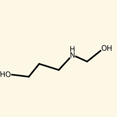 OCCCNCO